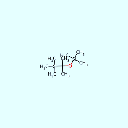 CC(C)(O[Si](C)(C)C)[Si](C)(C)C